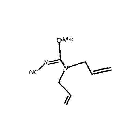 C=CCN(CC=C)C(=NC#N)OC